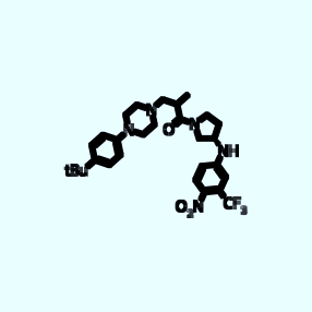 CC(CN1CCN(c2ccc(C(C)(C)C)cc2)CC1)C(=O)N1CC[C@@H](Nc2ccc([N+](=O)[O-])c(C(F)(F)F)c2)C1